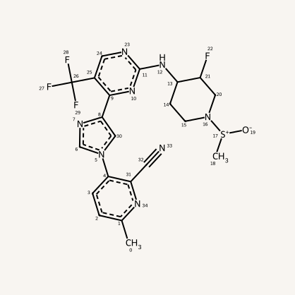 Cc1ccc(-n2cnc(-c3nc(NC4CCN([S+](C)[O-])CC4F)ncc3C(F)(F)F)c2)c(C#N)n1